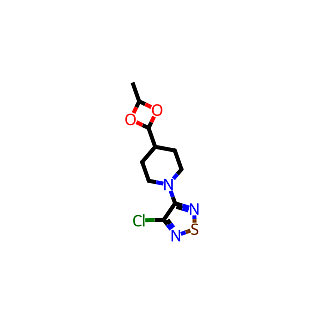 CC1OC(C2CCN(c3nsnc3Cl)CC2)O1